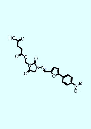 O=C(O)CCC(=O)OCN1C(=O)CN(/N=C/c2ccc(-c3ccc([N+](=O)[O-])cc3)o2)C1=O